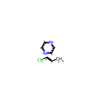 CC=CCl.c1cnccn1